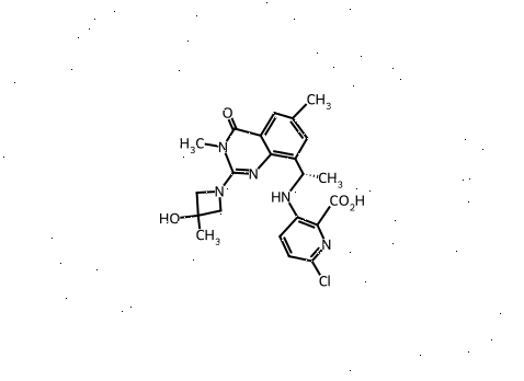 Cc1cc([C@H](C)Nc2ccc(Cl)nc2C(=O)O)c2nc(N3CC(C)(O)C3)n(C)c(=O)c2c1